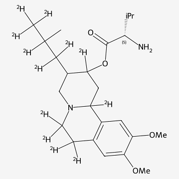 [2H]C1(OC(=O)[C@@H](N)C(C)C)CC2([2H])c3cc(OC)c(OC)cc3C([2H])([2H])C([2H])([2H])N2CC1C([2H])([2H])C([2H])(C)C([2H])([2H])[2H]